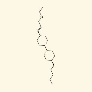 CCCCC[C@H]1CC[C@H]([C@H]2CC[C@H](C=CCOCC)CC2)CC1